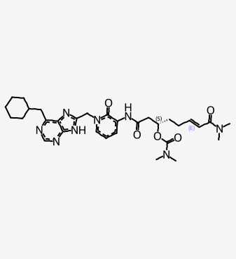 CN(C)C(=O)/C=C/CC[C@@H](CC(=O)Nc1cccn(Cc2nc3c(CC4CCCCC4)ncnc3[nH]2)c1=O)OC(=O)N(C)C